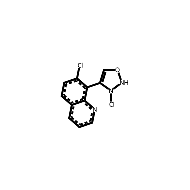 Clc1ccc2cccnc2c1C1=CONN1Cl